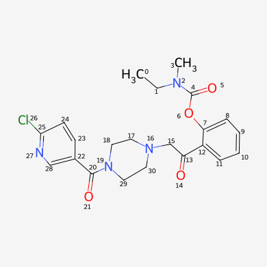 CCN(C)C(=O)Oc1ccccc1C(=O)CN1CCN(C(=O)c2ccc(Cl)nc2)CC1